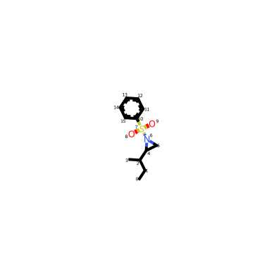 CCC(C)C1CN1S(=O)(=O)c1ccccc1